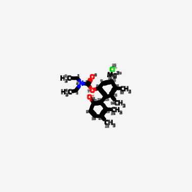 CCN(CC)C(=O)Oc1ccc(C)c(C)c1-c1c([O-])ccc(C)c1C.[Cl-].[Mg+2]